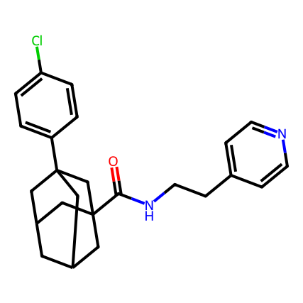 O=C(NCCc1ccncc1)C12CC3CC(C1)CC(c1ccc(Cl)cc1)(C3)C2